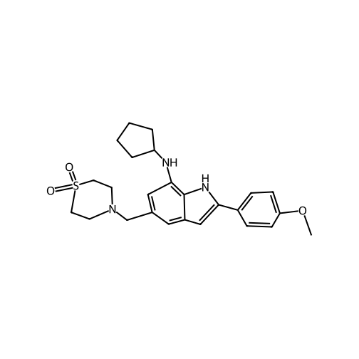 COc1ccc(-c2cc3cc(CN4CCS(=O)(=O)CC4)cc(NC4CCCC4)c3[nH]2)cc1